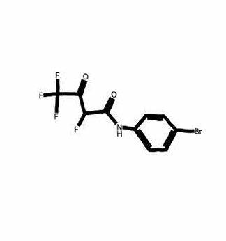 O=C(Nc1ccc(Br)cc1)C(F)C(=O)C(F)(F)F